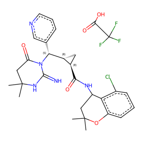 CC1(C)CC(=O)N([C@H](c2cccnc2)[C@@H]2C[C@H]2C(=O)NC2CC(C)(C)Oc3cccc(Cl)c32)C(=N)N1.O=C(O)C(F)(F)F